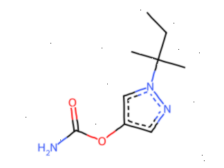 CCC(C)(C)n1cc(OC(N)=O)cn1